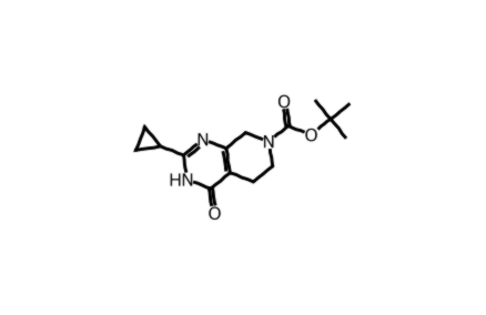 CC(C)(C)OC(=O)N1CCc2c(nc(C3CC3)[nH]c2=O)C1